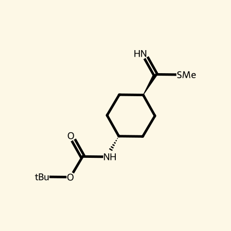 CSC(=N)[C@H]1CC[C@H](NC(=O)OC(C)(C)C)CC1